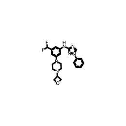 FC(F)c1cc(Nc2ncn(-c3ccccc3)n2)cc(N2CCN(C3COC3)CC2)c1